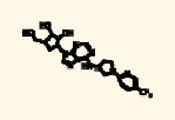 OCC1CC(n2cnc3c(N[C@H]4CCN(c5ccc(C(F)(F)F)cn5)C4)ncnc32)C(O)C1O